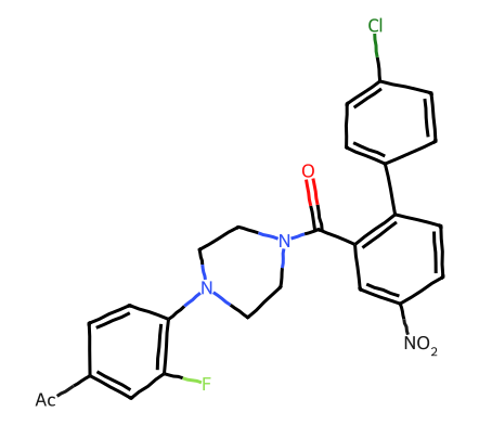 CC(=O)c1ccc(N2CCN(C(=O)c3cc([N+](=O)[O-])ccc3-c3ccc(Cl)cc3)CC2)c(F)c1